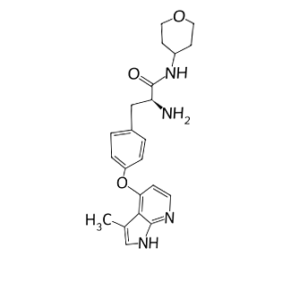 Cc1c[nH]c2nccc(Oc3ccc(C[C@H](N)C(=O)NC4CCOCC4)cc3)c12